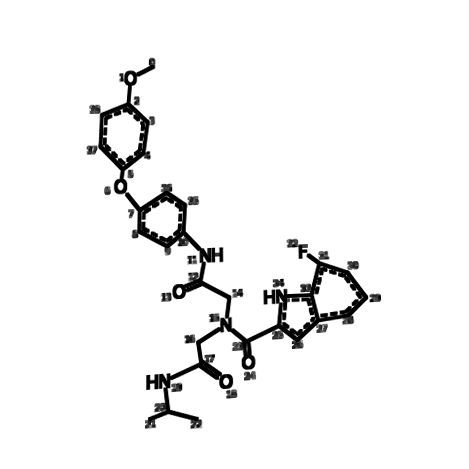 COc1ccc(Oc2ccc(NC(=O)CN(CC(=O)NC(C)C)C(=O)c3cc4cccc(F)c4[nH]3)cc2)cc1